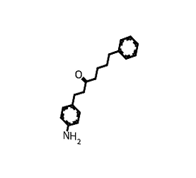 Nc1ccc(CCC(=O)CCCCc2ccccc2)cc1